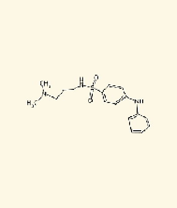 CN(C)CCCNS(=O)(=O)c1ccc(Nc2ccccc2)cc1